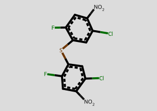 O=[N+]([O-])c1cc(F)c(Sc2cc(Cl)c([N+](=O)[O-])cc2F)cc1Cl